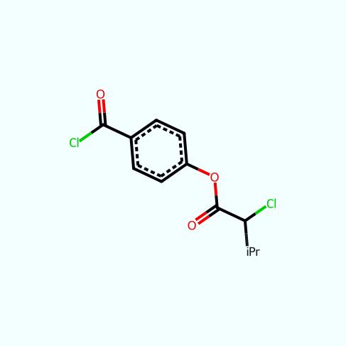 CC(C)C(Cl)C(=O)Oc1ccc(C(=O)Cl)cc1